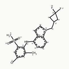 Cc1cc(Cl)cc(S(C)(=O)=O)c1Nc1nccc2c1ccn2CC1CC(F)(F)C1